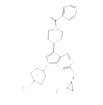 CC[C@H]1C[C@@H]1Nc1ncc2c(C3CCN(C(=O)c4ccncc4)CC3)cn(C3CCC(O)CC3)c2n1